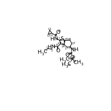 CCCNC(=O)c1c(NC(=O)C2CC2)sc2c1CC(NC(=O)OC(C)(C)C)CC2